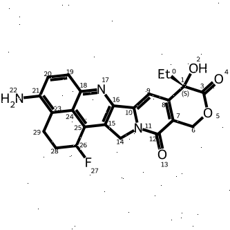 CC[C@@]1(O)C(=O)OCc2c1cc1n(c2=O)Cc2c-1nc1ccc(N)c3c1c2C(F)CC3